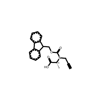 C#CCN(C(=O)OCC1c2ccccc2-c2ccccc21)[C@H](C)C(=O)O